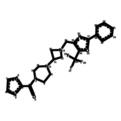 O=C(c1nccs1)N1CCN(C2CN(Cc3nc(-c4ccccc4)oc3C(F)(F)F)C2)CC1